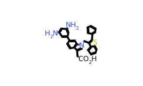 Nc1cc(N)cc(-c2ccc3c(CC(=O)O)cn(Cc4c(-c5ccccc5)sc5ccccc45)c3c2)c1